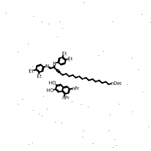 CCCCCCCCCCCCCCCCCCCCCCCCCC#CC(C=Nc1ccc(CC)c(CC)c1)=Nc1ccc(CC)c(CC)c1.CCCc1cc(CCC)c2cc(O)c(O)cc2c1